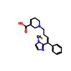 Cn1ccnc1C(=CCCN1CCC=C(C(=O)O)C1)c1ccccc1